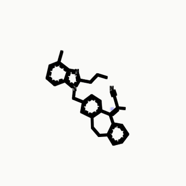 CCCc1nc2c(C)cccc2n1Cc1ccc2c(c1)CCc1ccccc1/C2=C(\C)C#N